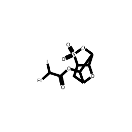 CCC(I)C(=O)OC1C2CC3C(O2)C1OS3(=O)=O